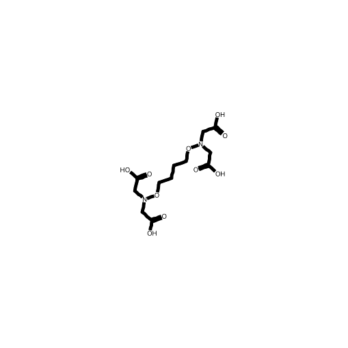 O=C(O)CN(CC(=O)O)OCCCCON(CC(=O)O)CC(=O)O